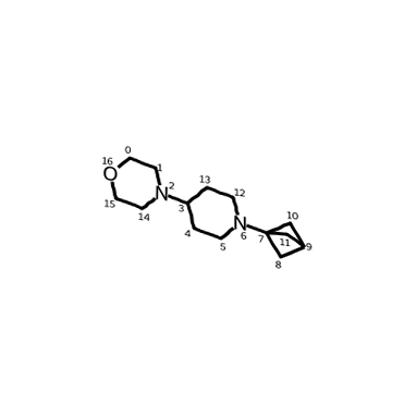 C1CN(C2CCN(C34CC(C3)C4)CC2)CCO1